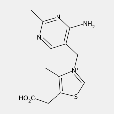 Cc1ncc(C[n+]2csc(CC(=O)O)c2C)c(N)n1